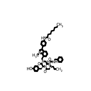 C=CCN1CC(=O)N2[C@@H](Cc3ccc(O)cc3)C(=O)N(Cc3cccc4c(-c5ccc(NC(=O)CCCCCCC)cc5)cn(C)c34)C[C@@H]2N1C(=O)NCc1ccccc1